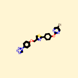 CCc1cnc(OC2CCC(c3nc(COc4ccc(-n5cnnn5)cc4)cs3)CC2)nc1